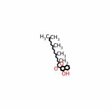 CC(C)=CCC/C(C)=C/CC/C(C)=C/CCC1(C)CC(=O)c2cc(O)c3ccccc3c2O1